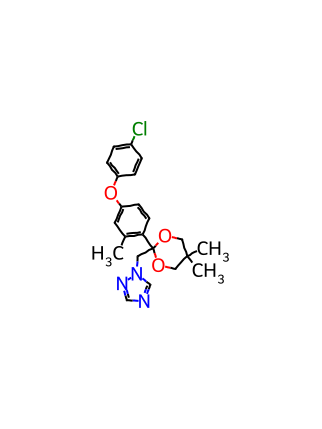 Cc1cc(Oc2ccc(Cl)cc2)ccc1C1(Cn2cncn2)OCC(C)(C)CO1